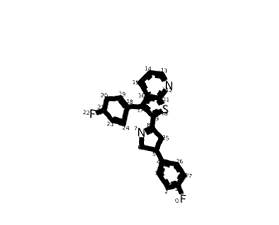 Fc1ccc(C2CN=C(c3sc4ncccc4c3C3=CCC(F)C=C3)C2)cc1